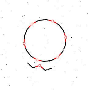 C1COCCOCCOCCOCCOCCO1.CCOCC